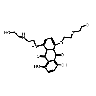 O=C1c2c(O)ccc(O)c2C(=O)C2C(OCCNCCO)=CC=C(NCCNCCO)C12